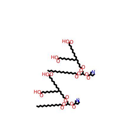 CCCCCCCCCCCCCC(=O)OCC(COC(=O)CCCCC(CCCCCCCCC(=O)O)CCCCCCCCC(=O)O)COC(=O)C1CCN(C)C1.CCCCCCCCCCCCCCCC(=O)OCC(COC(=O)CCCCC(CCCCCCCCC(=O)O)CCCCCCCCC(=O)O)COC(=O)C1CCN(C)C1